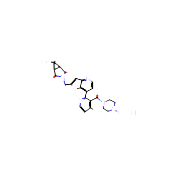 Cc1ccnc(-c2ccnc3cc(CN4C(=O)C5C(C4=O)C5(C)C)sc23)c1C(=O)N1CCN(C(=O)O)CC1